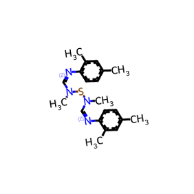 Cc1ccc(/N=C\N(C)SN(C)/C=N\c2ccc(C)cc2C)c(C)c1